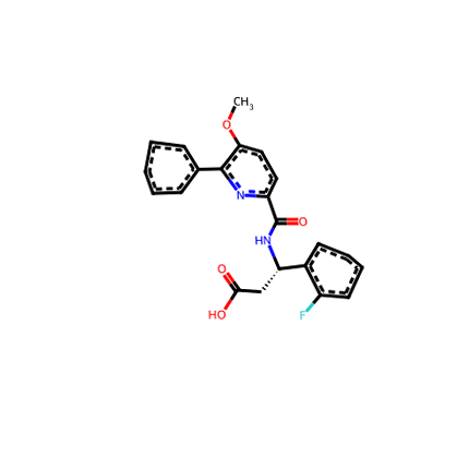 COc1ccc(C(=O)N[C@@H](CC(=O)O)c2ccccc2F)nc1-c1ccccc1